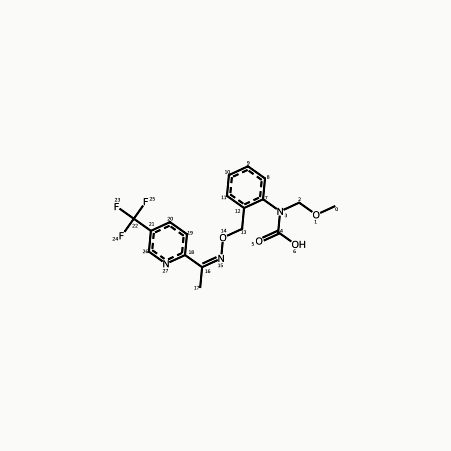 COCN(C(=O)O)c1ccccc1CON=C(C)c1ccc(C(F)(F)F)cn1